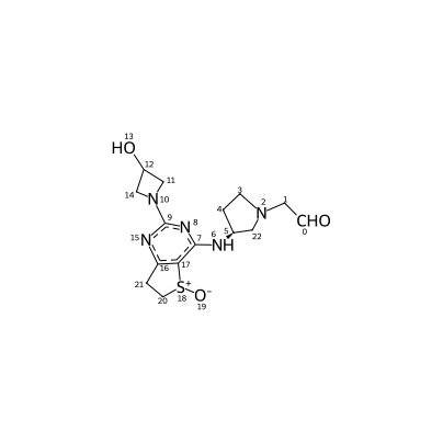 O=CCN1CC[C@H](Nc2nc(N3CC(O)C3)nc3c2[S+]([O-])CC3)C1